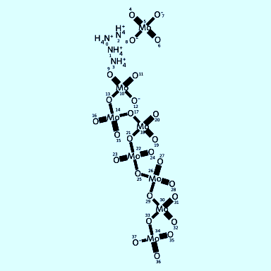 [NH4+].[NH4+].[NH4+].[NH4+].[O]=[Mo](=[O])([O-])[O-].[O]=[Mo](=[O])([O-])[O][Mo](=[O])(=[O])[O][Mo](=[O])(=[O])[O][Mo](=[O])(=[O])[O][Mo](=[O])(=[O])[O][Mo](=[O])(=[O])[O][Mo](=[O])(=[O])[O-]